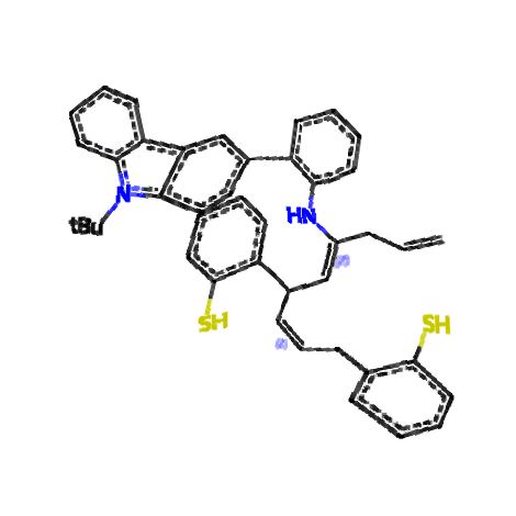 C=CC/C(=C/C(/C=C\Cc1ccccc1S)c1ccccc1S)Nc1ccccc1-c1ccc2c(c1)c1ccccc1n2C(C)(C)C